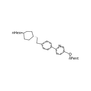 CCCCCC[C@H]1CC[C@H](CCc2ccc(-c3ccc(OCCCCC)cn3)cc2)CC1